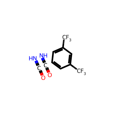 FC(F)(F)c1cccc(C(F)(F)F)c1.N=C=O.N=C=O